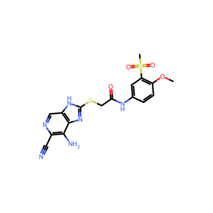 COc1ccc(NC(=O)CSc2nc3c(N)c(C#N)ncc3[nH]2)cc1S(C)(=O)=O